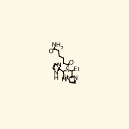 CCC(c1ncc[nH]1)N(C(=O)CCCCC(N)=O)C(CC)c1ncc[nH]1